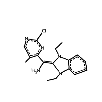 CCN1C(=C(N)c2nc(Cl)ncc2C)N(CC)c2ccccc21